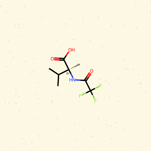 CC(C)[C@](C)(NC(=O)C(F)(F)F)C(=O)O